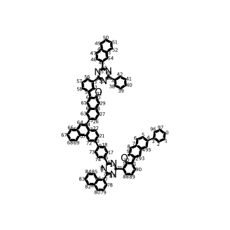 c1ccc(-c2ccc3cc4oc5c(-c6nc(-c7ccc(-c8ccc9c(-c%10ccc%11cc%12oc%13c(-c%14nc(-c%15ccccc%15)nc(-c%15ccc%16ccccc%16c%15)n%14)cccc%13c%12cc%11c%10)cc%10ccccc%10c9c8)cc7)nc(-c7cccc8ccccc78)n6)cccc5c4cc3c2)cc1